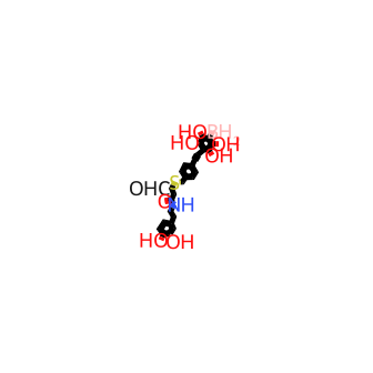 Bc1c(O)c(O)c(C#Cc2ccc(CS[C@@H](C=O)CC(=O)NCCc3ccc(O)c(O)c3)cc2)c(O)c1O